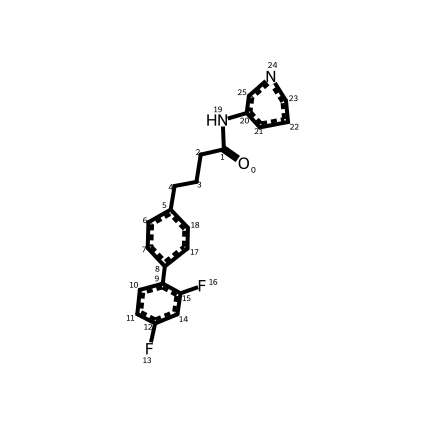 O=C(CCCc1ccc(-c2ccc(F)cc2F)cc1)Nc1cccnc1